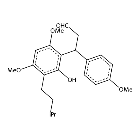 COc1ccc(C(CC=O)c2c(OC)cc(OC)c(CCC(C)C)c2O)cc1